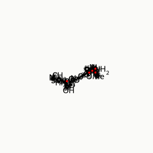 COCOc1ccccc1-c1cc(N2CC3CCC(C2)N3c2ccnc(OCCOCCOCCOc3cc(C(C(=O)N4C[C@H](O)C[C@H]4C(=O)NCc4ccc(-c5scnc5C)cc4)C(C)C)on3)c2)c(N)nn1